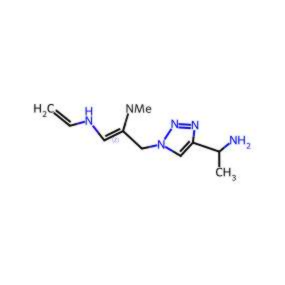 C=CN/C=C(/Cn1cc(C(C)N)nn1)NC